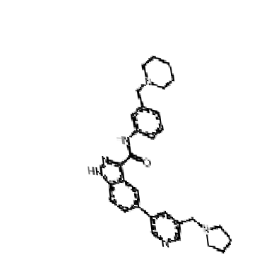 O=C(Nc1cccc(CN2CCCCC2)c1)c1n[nH]c2ccc(-c3cncc(CN4CCCC4)c3)cc12